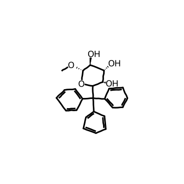 CO[C@H]1OC(C(c2ccccc2)(c2ccccc2)c2ccccc2)[C@@H](O)[C@@H](O)[C@@H]1O